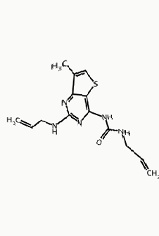 C=CCNC(=O)Nc1nc(NCC=C)nc2c(C)csc12